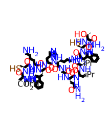 CCCNC(CC(=O)O)C(=O)N[C@@H](CS)C(=O)NC(CCCCN)C(=O)N[C@@H](Cc1c[nH]c2ccccc12)C(=O)NC(Cc1cnc[nH]1)C(=O)N[C@@H](CCCCN)C(=O)NCC(=O)N[C@@H](CCC(N)=O)C(=O)NC(CC(C)C)C(=O)N[C@H](C(=O)NC(Cc1c[nH]c2ccccc12)C(=O)N[C@@H](CS)C(=O)N[C@H](C(N)=O)[C@@H](C)O)C(C)C